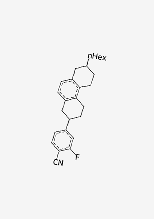 CCCCCCC1CCc2c(ccc3c2CCC(c2ccc(C#N)c(F)c2)C3)C1